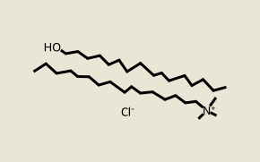 CCCCCCCCCCCCCCCCO.CCCCCCCCCCCCCCCC[N+](C)(C)C.[Cl-]